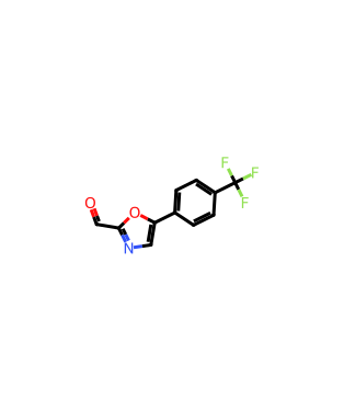 O=Cc1ncc(-c2ccc(C(F)(F)F)cc2)o1